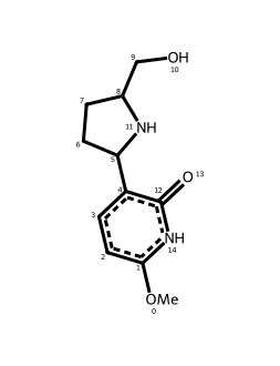 COc1ccc(C2CCC(CO)N2)c(=O)[nH]1